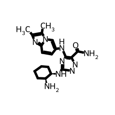 Cc1nc2ccc(Nc3nc(N[C@@H]4CCCC[C@@H]4N)nnc3C(N)=O)cn2c1C